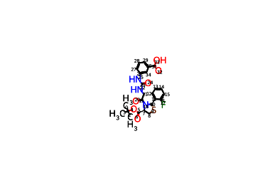 CC(C)(C)OC(=O)[C@@H]1CS[C@H](c2ccccc2F)N1C(=O)CNC(=O)Nc1cccc(C(=O)O)c1